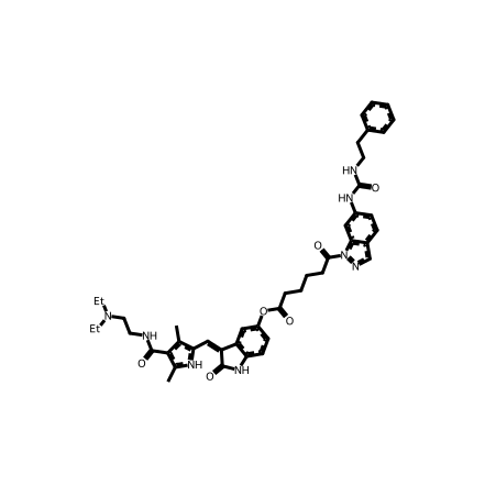 CCN(CC)CCNC(=O)c1c(C)[nH]c(/C=C2\C(=O)Nc3ccc(OC(=O)CCCCC(=O)n4ncc5ccc(NC(=O)NCCc6ccccc6)cc54)cc32)c1C